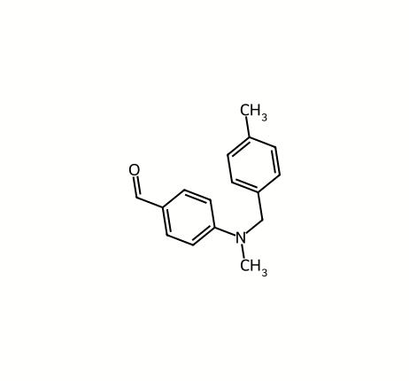 Cc1ccc(CN(C)c2ccc(C=O)cc2)cc1